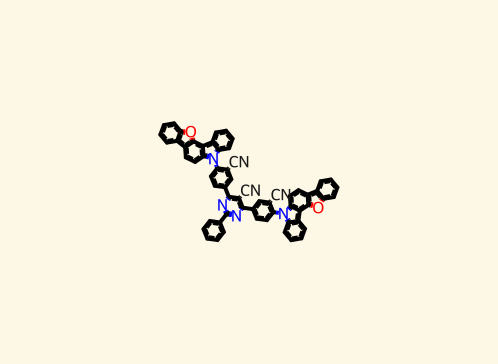 N#Cc1cc(-c2nc(-c3ccccc3)nc(-c3ccc(-n4c5ccccc5c5c6oc7ccccc7c6ccc54)c(C#N)c3)c2C#N)ccc1-n1c2ccccc2c2c3oc4ccccc4c3ccc21